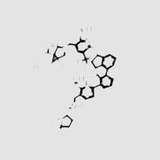 COc1nc(-c2cccc(-c3cccc4c3CC[C@@H]4Oc3nc(OC)c(CN4C[C@@H]5[C@H](C)[C@]5(C(=O)O)C4)cc3C(F)(F)F)c2Cl)ccc1CNC[C@@H]1CCC(=O)N1